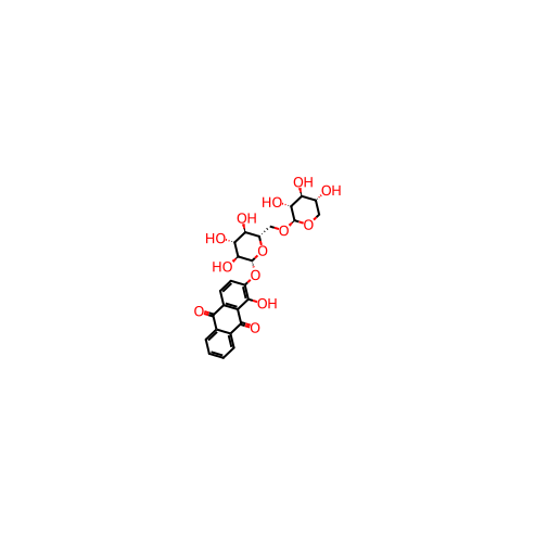 O=C1c2ccccc2C(=O)c2c1ccc(O[C@H]1O[C@@H](CO[C@@H]3OC[C@@H](O)[C@H](O)[C@H]3O)[C@H](O)[C@@H](O)[C@@H]1O)c2O